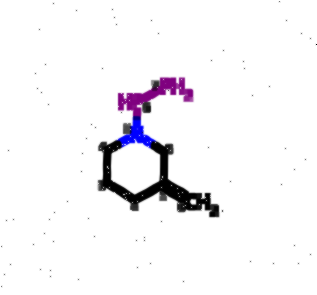 C=C1CCCN(PP)C1